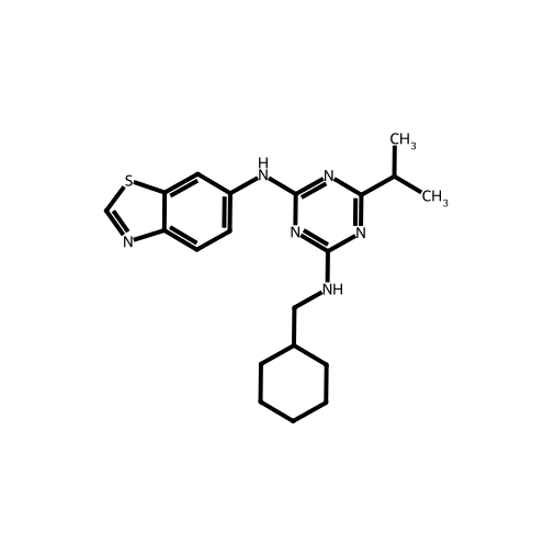 CC(C)c1nc(NCC2CCCCC2)nc(Nc2ccc3ncsc3c2)n1